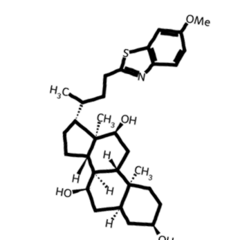 COc1ccc2nc(CCC(C)[C@H]3CC[C@H]4[C@@H]5[C@H](O)C[C@@H]6C[C@H](O)CC[C@]6(C)[C@H]5C[C@H](O)[C@]34C)sc2c1